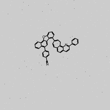 N#Cc1ccc(-c2cc3c(oc4cccc(C5=CCc6c(ccc7ccc(-c8ccccc8)nc67)C=C5)c43)c3ccccc23)cc1